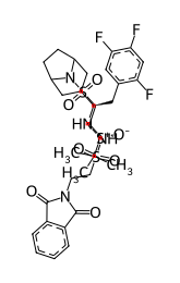 CC(C)(C)[S@+]([O-])N[C@H](Cc1cc(F)c(F)cc1F)C1CC2CCC(C1)N2S(=O)(=O)CCNS(=O)(=O)CCN1C(=O)c2ccccc2C1=O